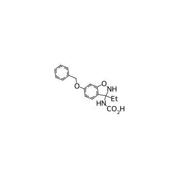 CCC1(NC(=O)O)NOc2cc(OCc3ccccc3)ccc21